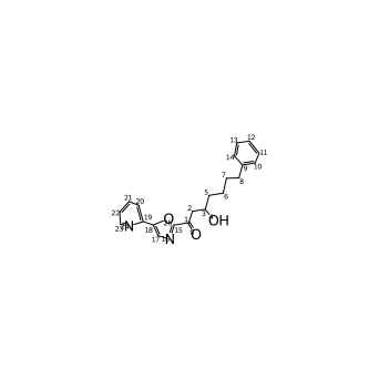 O=C(CC(O)CCCCc1ccccc1)c1ncc(-c2ccccn2)o1